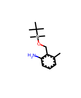 Cc1cccc(N)c1CO[Si](C)(C)C(C)(C)C